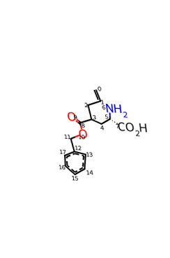 C=CCC(C[C@H](N)C(=O)O)C(=O)OCc1ccccc1